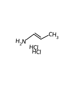 CC=CN.Cl.Cl